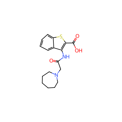 O=C(CN1CCCCCC1)Nc1c(C(=O)O)sc2ccccc12